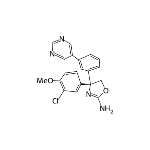 COc1ccc([C@@]2(c3cccc(-c4cncnc4)c3)COC(N)=N2)cc1Cl